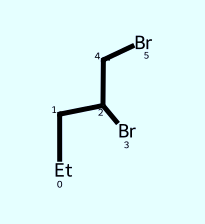 CCCC(Br)[CH]Br